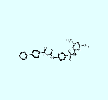 Cc1cc(C)nc(NS(=O)(=O)c2ccc(NC(=S)NC(=O)c3ccc(-c4ccccc4)cc3)cc2)n1